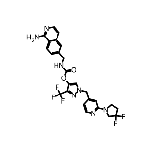 Nc1nccc2cc(CNC(=O)Oc3cn(Cc4ccnc(N5CCC(F)(F)C5)c4)nc3C(F)(F)F)ccc12